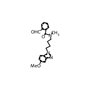 COc1ccc2c(c1)ncn2CCCCN(C)C(=O)c1ccccc1C=O